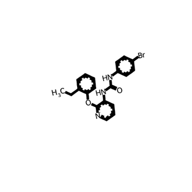 CCc1ccccc1Oc1ncccc1NC(=O)Nc1ccc(Br)cc1